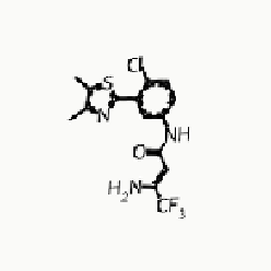 Cc1nc(-c2cc(NC(=O)/C=C(\N)C(F)(F)F)ccc2Cl)sc1C